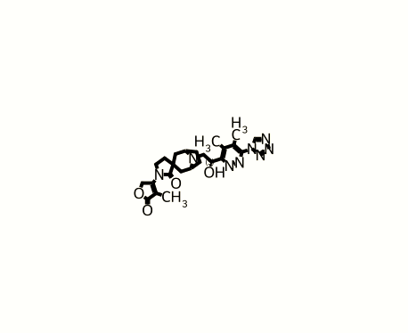 CC1=C(N2CCC3(CC4CCC(C3)N4C[C@H](O)c3nnc(-n4cnnn4)c(C)c3C)C2=O)COC1=O